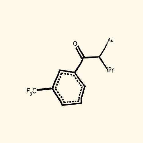 CC(=O)C(C(=O)c1cccc(C(F)(F)F)c1)C(C)C